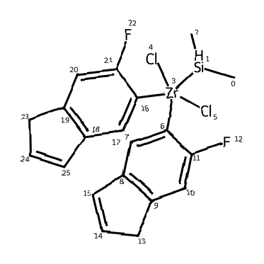 C[SiH](C)[Zr]([Cl])([Cl])([c]1cc2c(cc1F)CC=C2)[c]1cc2c(cc1F)CC=C2